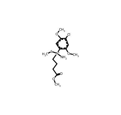 COC(=O)CCC[N+](N)(SC)c1cc(OC)c(Cl)cc1OC